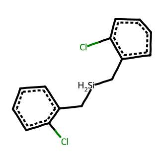 Clc1ccccc1C[SiH2]Cc1ccccc1Cl